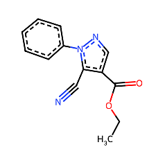 CCOC(=O)c1cnn(-c2ccccc2)c1C#N